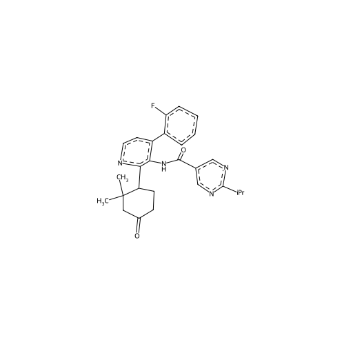 CC(C)c1ncc(C(=O)Nc2c(-c3ccccc3F)ccnc2C2CCC(=O)CC2(C)C)cn1